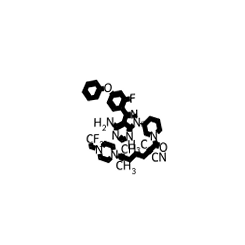 CC(C#N)(CCCC(C)(C)N1CCN(CC(F)(F)F)CC1)C(=O)N1CCC[C@@H](n2nc(-c3ccc(Oc4ccccc4)cc3F)c3c(N)ncnc32)C1